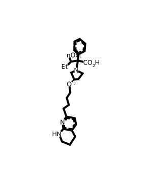 CCCCCCCCC(CC)C(C(=O)O)(c1ccccc1)N1CC[C@@H](OCCCCc2ccc3c(n2)NCCC3)C1